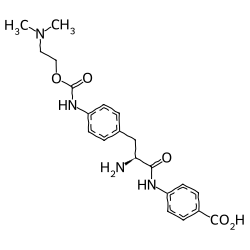 CN(C)CCOC(=O)Nc1ccc(C[C@H](N)C(=O)Nc2ccc(C(=O)O)cc2)cc1